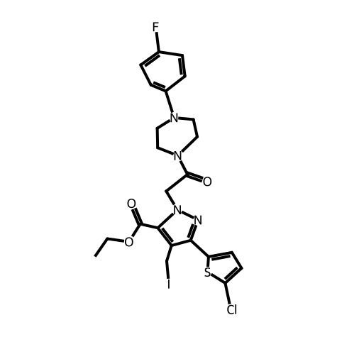 CCOC(=O)c1c(CI)c(-c2ccc(Cl)s2)nn1CC(=O)N1CCN(c2ccc(F)cc2)CC1